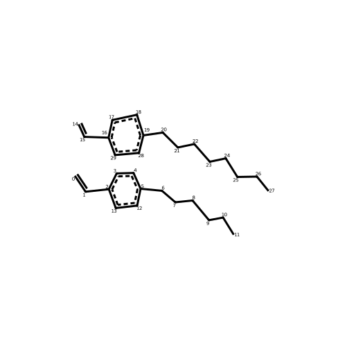 C=Cc1ccc(CCCCCC)cc1.C=Cc1ccc(CCCCCCCC)cc1